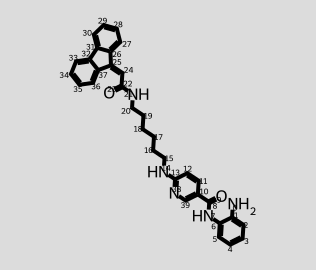 Nc1ccccc1NC(=O)c1ccc(NCCCCCCNC(=O)C=C2c3ccccc3-c3ccccc32)nc1